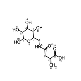 C=C(CC(=O)NCC1OC(O)C(O)C(O)C1O)C(=O)O